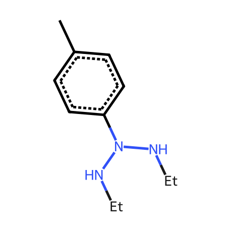 CCNN(NCC)c1ccc(C)cc1